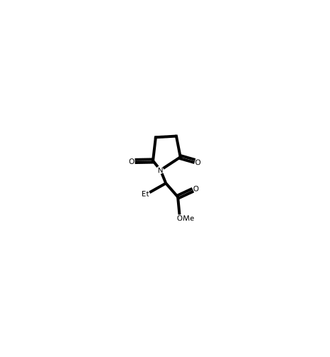 CCC(C(=O)OC)N1C(=O)CCC1=O